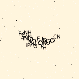 CC(C)n1c(=O)c(-c2cc(F)c(NS(=O)(=O)Cc3cccc(C#N)c3)c(F)c2F)cc2cnc(N[C@@H]3CNC[C@@H](F)C3)nc21